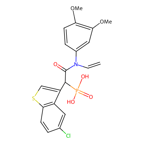 C=CN(C(=O)C(c1csc2ccc(Cl)cc12)P(=O)(O)O)c1ccc(OC)c(OC)c1